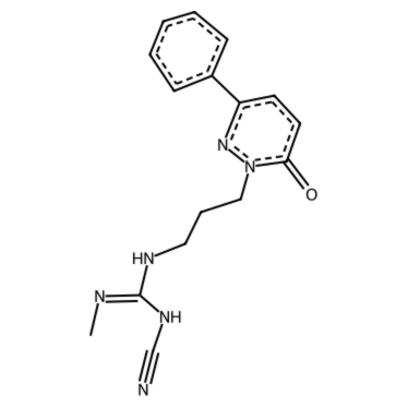 C/N=C(\NC#N)NCCCn1nc(-c2ccccc2)ccc1=O